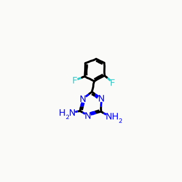 Nc1nc(N)nc(-c2c(F)cccc2F)n1